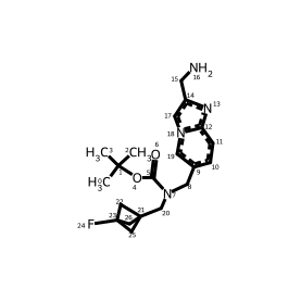 CC(C)(C)OC(=O)N(Cc1ccc2nc(CN)cn2c1)CC12CC(F)(C1)C2